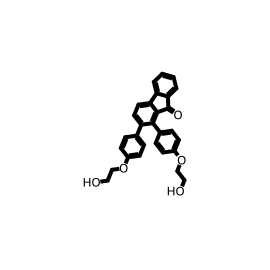 O=C1c2ccccc2-c2ccc(-c3ccc(OCCO)cc3)c(-c3ccc(OCCO)cc3)c21